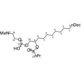 CCCCCCCCCCCCCCCCCCC(COP(O)OCCNC)OC(=O)CCC